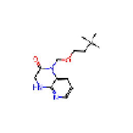 C[Si](C)(C)CCOCN1C(=O)CNc2ncccc21